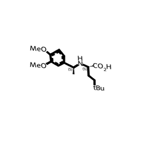 COc1ccc([C@H](C)N[C@@H](CCC(C)(C)C)C(=O)O)cc1OC